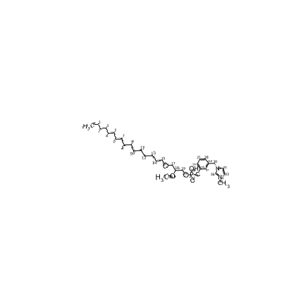 CCCCCCCCCCCCCCCCOCC(COP(=O)(O)Oc1cccc(Cn2cc[n+](C)c2)c1)OC